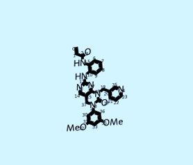 C=CC(=O)Nc1ccccc1Nc1ncc2c(n1)N(Cc1cccnc1)C(=O)N(c1cc(OC)cc(OC)c1)C2